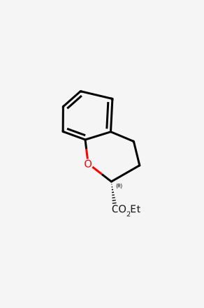 CCOC(=O)[C@H]1CCc2ccccc2O1